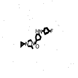 CC1CN(C2CC2)CCN1C(=O)C1CCC(Nc2ccc(F)cc2)CC1